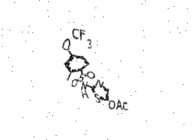 CC(=O)Oc1cnc(NS(=O)(=O)c2ccc(OC(F)(F)F)cc2C)s1